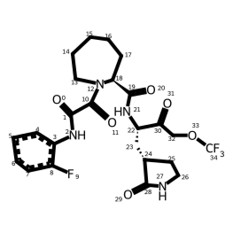 O=C(Nc1ccccc1F)C(=O)N1CCCCC[C@H]1C(=O)N[C@@H](C[C@@H]1CCNC1=O)C(=O)COC(F)(F)F